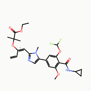 C=C/C(=C\c1ncc(-c2cc(OC)c(C(=O)NC3CC3)c(OC(F)F)c2)n1C)OC(C)(C)C(=O)OCC